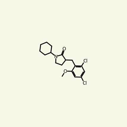 COc1cc(Cl)cc(Cl)c1CC1CCN(C2CCCCC2)C1=O